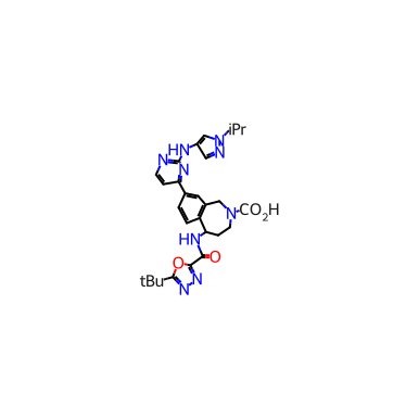 CC(C)n1cc(Nc2nccc(-c3ccc4c(c3)CN(C(=O)O)CCC4NC(=O)c3nnc(C(C)(C)C)o3)n2)cn1